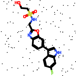 O=S(=O)(CCO)NCc1nc2ccc(-c3c[nH]c4cc(F)ccc34)cc2o1